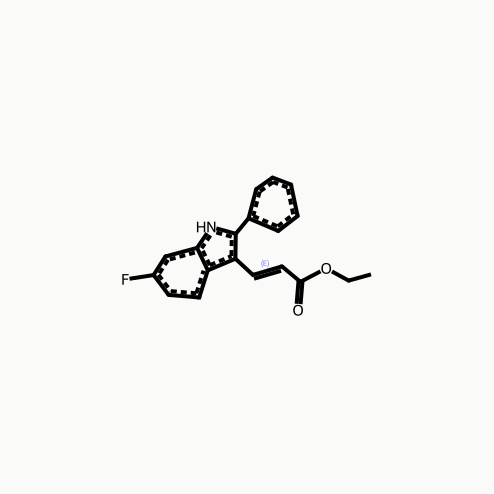 CCOC(=O)/C=C/c1c(-c2ccccc2)[nH]c2cc(F)ccc12